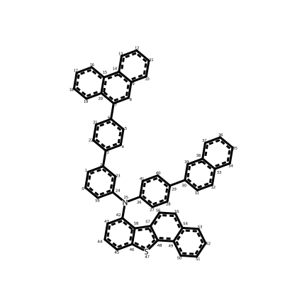 c1cc(-c2ccc(-c3cc4ccccc4c4ccccc34)cc2)cc(N(c2ccc(-c3ccc4ccccc4c3)cc2)c2cccc3sc4c5ccccc5ccc4c23)c1